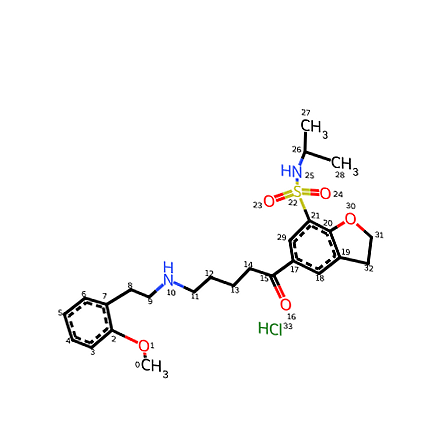 COc1ccccc1CCNCCCCC(=O)c1cc2c(c(S(=O)(=O)NC(C)C)c1)OCC2.Cl